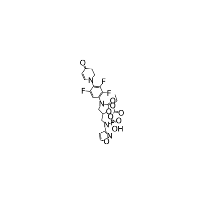 CCOC(=O)OP(=O)(O)N(CC1CN(c2cc(F)c(N3C=CC(=O)CC3)c(F)c2F)C(=O)O1)c1ccon1